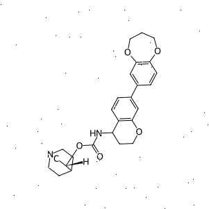 O=C(NC1CCOc2cc(-c3ccc4c(c3)OCCCO4)ccc21)O[C@H]1CN2CCC1CC2